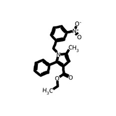 CCOC(=O)c1cc(C)n(Cc2cccc([N+](=O)[O-])c2)c1-c1ccccc1